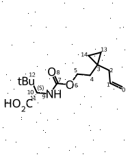 C=CCC1(CCOC(=O)N[C@H](C(=O)O)C(C)(C)C)CC1